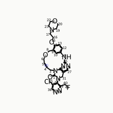 O=C1N2C/C=C\COCc3cc(ccc3OCCN3CCOCC3)Nc3ncc(c2n3)CN1c1c(Cl)cnnc1CF